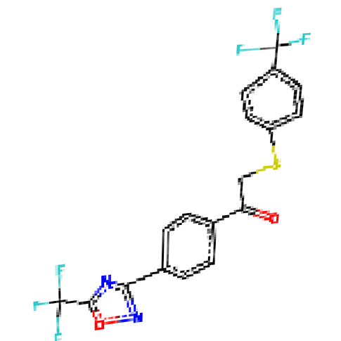 O=C(CSc1ccc(C(F)(F)F)cc1)c1ccc(-c2noc(C(F)(F)F)n2)cc1